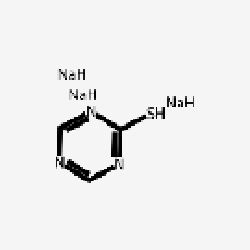 Sc1ncncn1.[NaH].[NaH].[NaH]